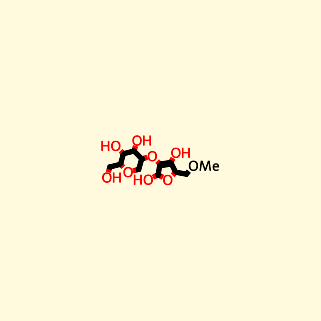 COCC1OC(O)C(OC2COC(CO)C(O)C2O)=C1O